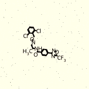 CC(C=NOCc1c(Cl)cccc1Cl)NC(=O)c1ccc(-c2noc(C(F)(F)F)n2)cc1